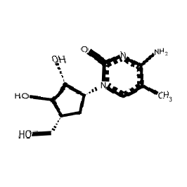 Cc1cn([C@@H]2C[C@H](CO)C(O)[C@@H]2O)c(=O)nc1N